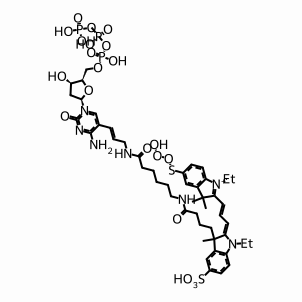 CCN1/C(=C/C=C/C2=[N+](CC)c3ccc(SOOO)cc3C2(C)C)C(C)(CCCC(=O)NCCCCCC(=O)NC/C=C/c2cn([C@H]3C[C@@H](O)[C@@H](COP(=O)(O)OP(=O)(O)OP(=O)(O)O)O3)c(=O)nc2N)c2cc(S(=O)(=O)O)ccc21